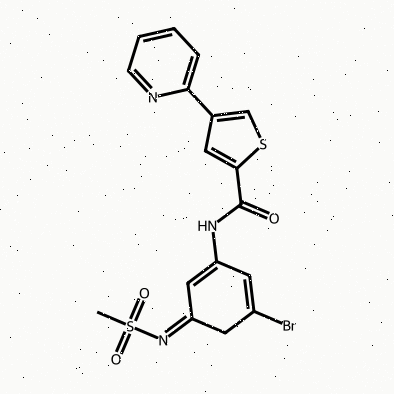 CS(=O)(=O)N=C1C=C(NC(=O)c2cc(-c3ccccn3)cs2)C=C(Br)C1